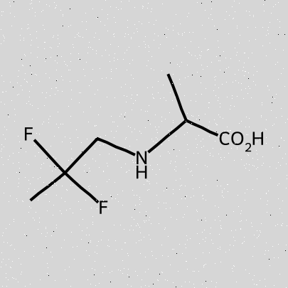 CC(NCC(C)(F)F)C(=O)O